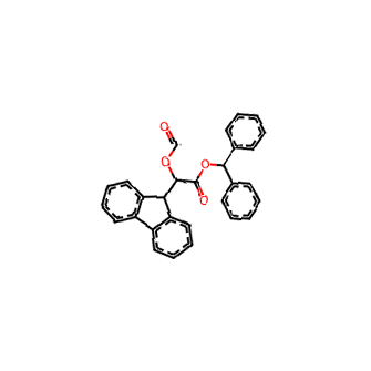 O=[C]OC(C(=O)OC(c1ccccc1)c1ccccc1)C1c2ccccc2-c2ccccc21